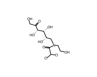 O=C(CO)[C@@H](O)[C@H](O)[C@@H](O)CN(CCO)C(=O)C(Cl)Cl